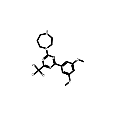 COc1cc(OC)cc(-c2nc(N3CCCNCC3)nc(C(Cl)(Cl)Cl)n2)c1